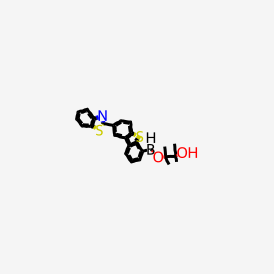 CC(C)(O)C(C)(C)OBc1cccc2c1sc1ccc(-c3nc4ccccc4s3)cc12